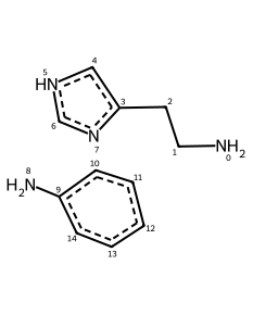 NCCc1c[nH]cn1.Nc1ccccc1